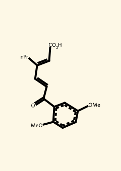 CCCC(C=CC(=O)c1cc(OC)ccc1OC)=CC(=O)O